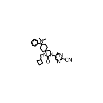 CN(C)C1(c2ccccc2)CCC2(CC1)CN(c1cnc(C#N)nc1)C(=O)N2CC1CCC1